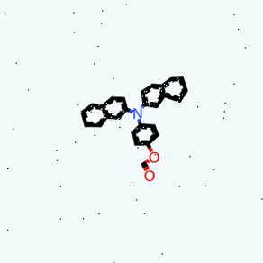 O=COc1ccc(N(c2ccc3ccccc3c2)c2ccc3ccccc3c2)cc1